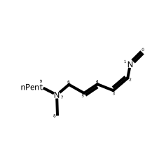 C=N/C=C\C=C\CN(C)CCCCC